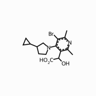 Cc1nc(C)c(C(O)C(=O)O)c(N2CCC(C3CC3)C2)c1Br